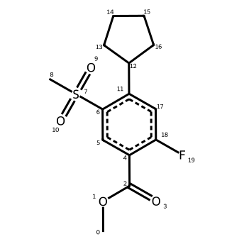 COC(=O)c1cc(S(C)(=O)=O)c(C2CCCC2)cc1F